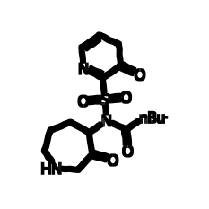 CCC[CH]C(=O)N(C1CCCNCC1=O)S(=O)(=O)C1=NC=CCC1=O